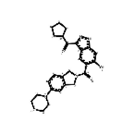 O=C(c1n[nH]c2cc(O)c(C(=O)N3Cc4ccc(N5CCOCC5)cc4C3)cc12)C1CCCC1